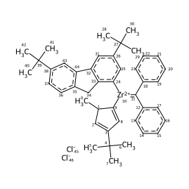 CC1C=C(C(C)(C)C)C=[C]1[Zr+2](=[C](c1ccccc1)c1ccccc1)[c]1cc(C(C)(C)C)cc2c1Cc1ccc(C(C)(C)C)cc1-2.[Cl-].[Cl-]